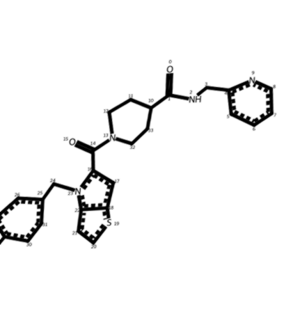 O=C(NCc1ccccn1)C1CCN(C(=O)c2cc3sccc3n2Cc2ccc(Cl)cc2)CC1